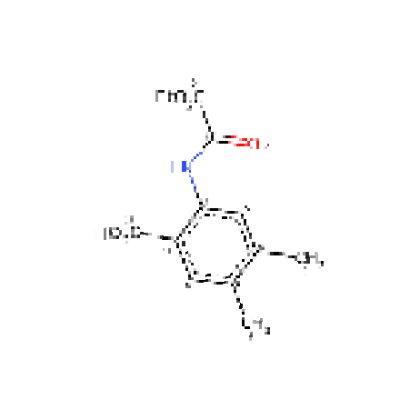 CCOC(=O)C(=O)Nc1cc(C)c(C)cc1C(=O)O